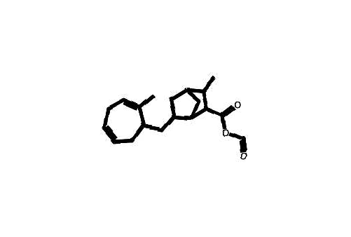 CC1=CCC=CCC1CC1CC2CC1C(C(=O)OC=O)C2C